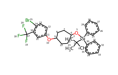 CC(C)(C)[Si](OC1CCC(Oc2ccc(Br)c(C(F)(F)F)c2)CC1)(c1ccccc1)c1ccccc1